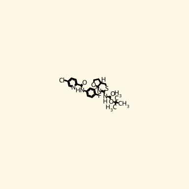 CC(C)(C)OC(=O)NC1=N[C@@]2(c3cc(NC(=O)c4ccc(Cl)cn4)ccc3F)OCC[C@H]2CS1